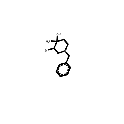 CC1(O)CCN(Cc2ccccc2)CC1Br